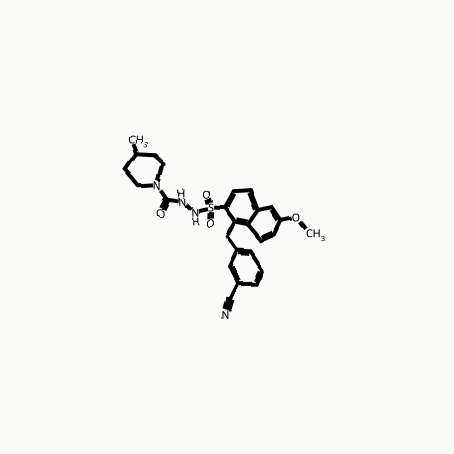 COc1ccc2c(Cc3cccc(C#N)c3)c(S(=O)(=O)NNC(=O)N3CCC(C)CC3)ccc2c1